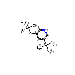 CC(C)(C)Cc1cncc(C(C)(C)C)c1